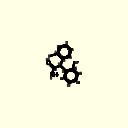 Cc1ccccc1C(C([NH])=O)c1ccccc1C